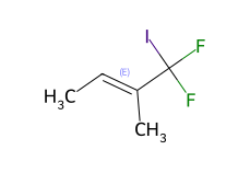 C/C=C(\C)C(F)(F)I